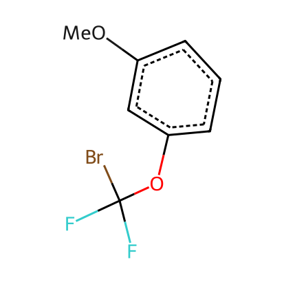 COc1cccc(OC(F)(F)Br)c1